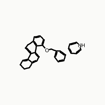 C1=CC=CNC=C1.C1=c2c(ccc3c2=CCc2cccc(OCc4ccccc4)c2-3)CCC1